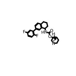 O=C(NC1CCCc2ccc(-c3cc(F)ccc3F)cc21)O[C@H]1CN2CCC1CC2